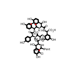 C=C(NC(C(=O)NC(CC(C)=O)C(=O)N(C)C(C(=O)NC(C(=O)NC(C(=O)NC(C(=O)O)c1cc(O)cc(O)c1)C(O)c1ccc(O)c(Cl)c1)c1ccc(O)cc1)c1ccc(O)cc1)C(O)c1ccc(O)c(Cl)c1)C(C)CCC